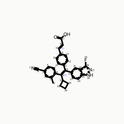 Cc1cc(C#N)ccc1/C(=C(\c1ccc(/C=C/C(=O)O)cc1)c1ccc2[nH]nc(F)c2c1)C1CCC1